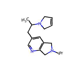 CC(C)N1Cc2cc(CC(C)N3CC=CC3)cnc2C1